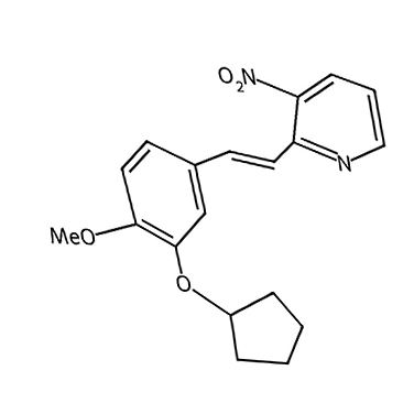 COc1ccc(C=Cc2ncccc2[N+](=O)[O-])cc1OC1CCCC1